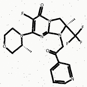 C[C@@H]1COCCN1c1nc2n(c(=O)c1F)C[C@@](C)(C(F)(F)F)N2CC(=O)c1cccnc1